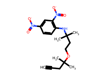 C#CCC(C)(C)OCCC(C)(C)Nc1ccc([N+](=O)[O-])cc1[N+](=O)[O-]